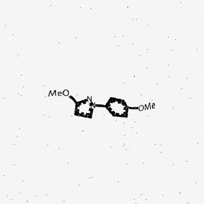 COc1ccc(-n2ccc(OC)n2)cc1